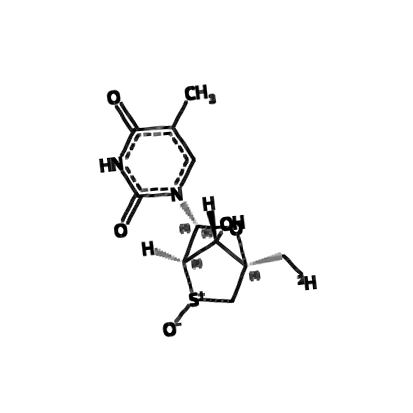 [2H]C[C@@]12C[S+]([O-])[C@@H]([C@H](n3cc(C)c(=O)[nH]c3=O)O1)[C@@H]2O